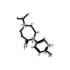 CC(C)N1CCC(=O)N(c2ccc(I)nc2)CC1